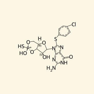 Nc1nc2c(nc(Sc3ccc(Cl)cc3)n2C2O[C@@H]3CO[P+](O)(S)OC3[C@@H]2O)c(=O)[nH]1